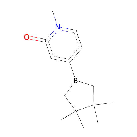 Cn1ccc(B2CC(C)(C)C(C)(C)C2)cc1=O